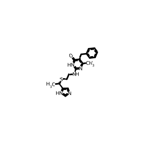 Cc1nc(NCCSC(C)c2cnc[nH]2)[nH]c(=O)c1Cc1ccccc1